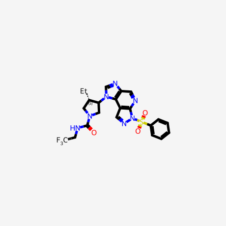 CC[C@H]1CN(C(=O)NCC(F)(F)F)CC1n1cnc2cnc3c(cnn3S(=O)(=O)c3ccccc3)c21